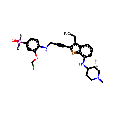 CCP(=O)(CC)c1ccc(NCC#Cc2sc3c(NC4CCN(C)C[C@H]4F)cccc3c2CC(F)(F)F)c(OCF)c1